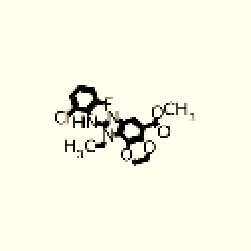 CCn1c(Nc2c(F)cccc2Cl)nc2cc(C(=O)OC)c3c(c21)OCCO3